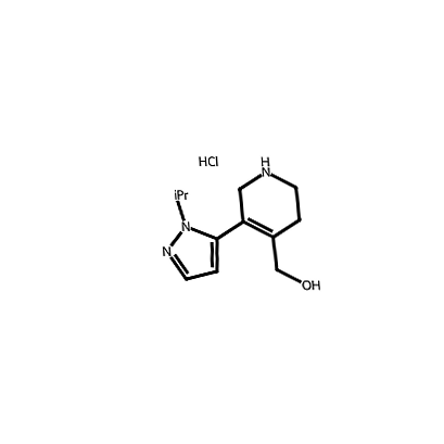 CC(C)n1nccc1C1=C(CO)CCNC1.Cl